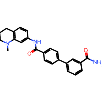 CN1CCCc2ccc(NC(=O)c3ccc(-c4cccc(C(N)=O)c4)cc3)cc21